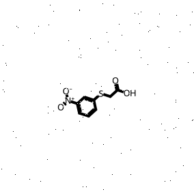 O=C(O)CSc1cccc([N+](=O)[O-])c1